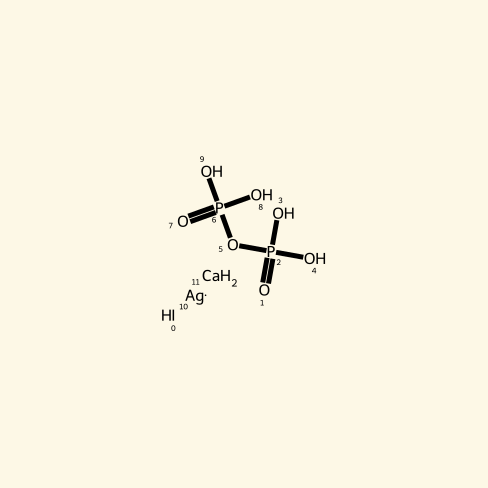 I.O=P(O)(O)OP(=O)(O)O.[Ag].[CaH2]